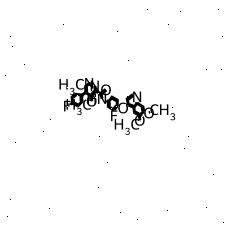 COc1cc2nccc(Oc3ccc(NC(=O)c4nnc(C)c(-c5ccc(F)cc5)c4OC)cc3F)c2cc1OC